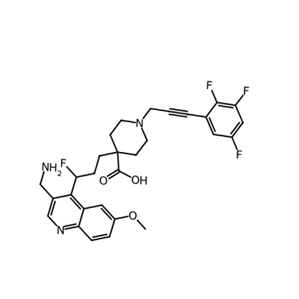 COc1ccc2ncc(CN)c(C(F)CCC3(C(=O)O)CCN(CC#Cc4cc(F)cc(F)c4F)CC3)c2c1